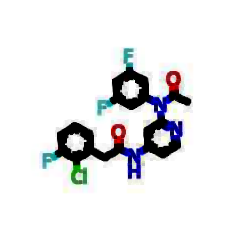 CC(=O)N(c1cc(F)cc(F)c1)c1cc(NC(=O)Cc2cccc(F)c2Cl)ccn1